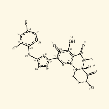 C=C1[C@@H](CC)CCN2[C@@H]1N(C)C(=O)c1c(O)c(=O)c(-c3nnc(Cc4ccc(F)cc4F)s3)cn12